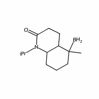 BC1(C)CCCC2C1CCC(=O)N2C(C)C